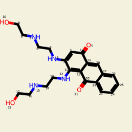 O=C1C=C(NCCNCCO)C(NCCNCCO)=C2C(=O)c3ccccc3C=C12